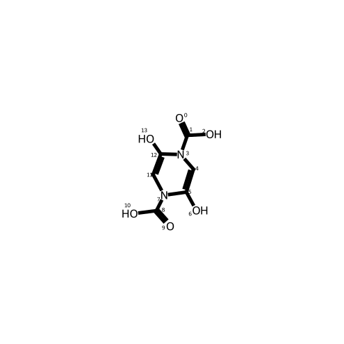 O=C(O)N1C=C(O)N(C(=O)O)C=C1O